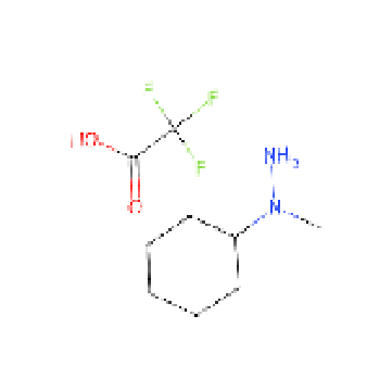 CN(N)C1CCCCC1.O=C(O)C(F)(F)F